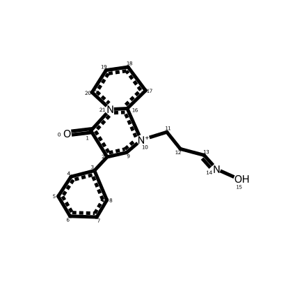 O=c1c(-c2ccccc2)c[n+](CCC=NO)c2ccccn12